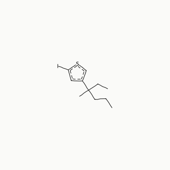 CCCC(C)(CC)c1csc(I)c1